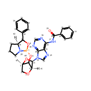 C[C@@]12CO[C@@H](C1O[P@@]1OC(c3ccccc3)[C@@H]3CCCN31)[C@H](n1cnc3c(NC(=O)c4ccccc4)ncnc31)O2